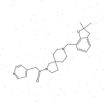 CC1(C)Cc2cccc(CN3CCC4(CC3)CCN(C(=O)Cc3ccncc3)C4)c2O1